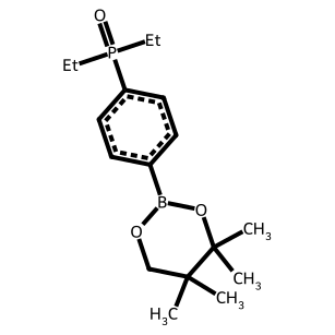 CCP(=O)(CC)c1ccc(B2OCC(C)(C)C(C)(C)O2)cc1